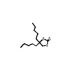 CCCCCC1(CCCCC)CSC(=S)S1